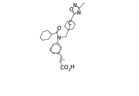 Cc1noc(C23CCC(CN(C(=O)C4CCCCC4)c4cccc(/C=C/C(=O)O)c4)(CC2)CC3)n1